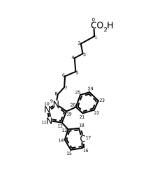 O=C(O)CCCCCCCCn1nnc(-c2ccccc2)c1-c1ccccc1